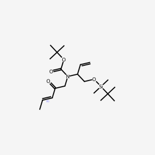 C=CC(CO[Si](C)(C)C(C)(C)C)N(CC(=O)/C=C/C)C(=O)OC(C)(C)C